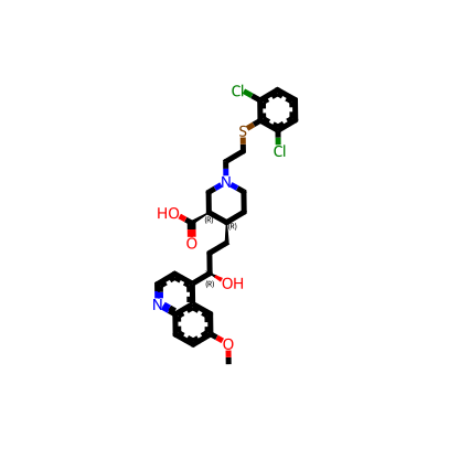 COc1ccc2nccc([C@H](O)CC[C@@H]3CCN(CCSc4c(Cl)cccc4Cl)C[C@@H]3C(=O)O)c2c1